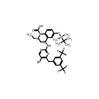 CC[C@@H]1C[C@H](Nc2ncc(Br)c(Cc3cc(C(F)(F)F)cc(C(F)(F)F)c3)n2)c2cc(O[Si](C)(C)C(C)(C)C)ccc2N1C(=O)O